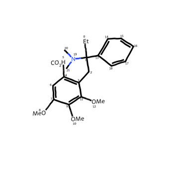 CCC(Cc1c(C(=O)O)cc(OC)c(OC)c1OC)(c1ccccc1)N(C)C